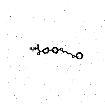 NNC(=O)c1ccc(-c2ccc(OCCCCOc3ccccc3)cc2)cc1